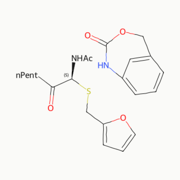 CCCCCC(=O)[C@@H](NC(C)=O)SCc1ccco1.O=C1Nc2cccc(c2)CO1